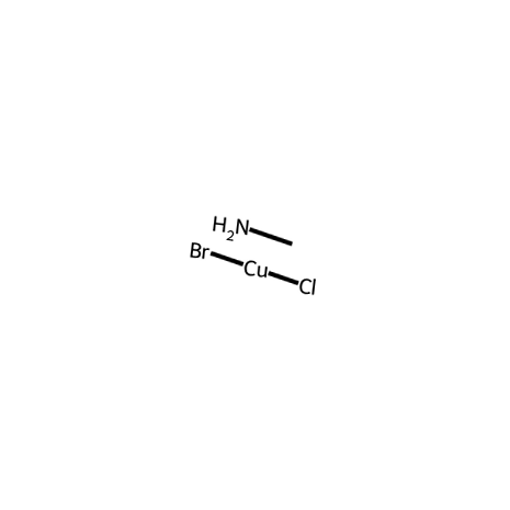 CN.[Cl][Cu][Br]